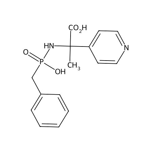 CC(NP(=O)(O)Cc1ccccc1)(C(=O)O)c1ccncc1